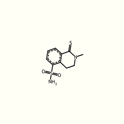 CN1CCc2c(cccc2S(N)(=O)=O)C1=S